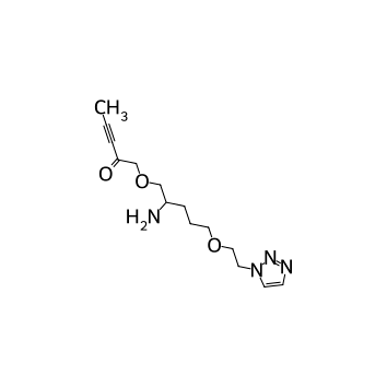 CC#CC(=O)COCC(N)CCCOCCn1ccnn1